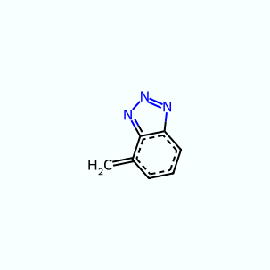 C=c1cccc2c1=NN=N2